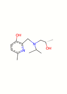 Cc1ccc(O)c(CN(C[C@H](C)O)C(C)C)n1